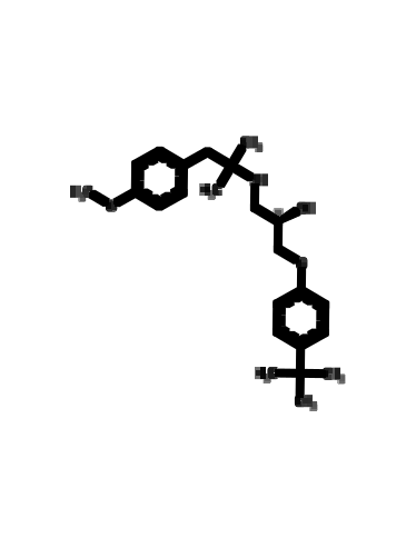 COc1ccc(CC(C)(C)NC[C@@H](O)COc2ccc(C(C)(C)C)cc2)cc1